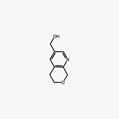 OCc1cnc2c(c1)CCOC2